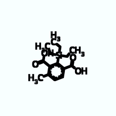 CC[Si](CC)(CC)c1c(C(=O)O)ccc(C)c1C(=O)O